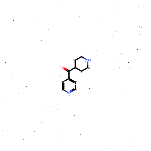 O=C(c1ccncc1)C1CCNCC1